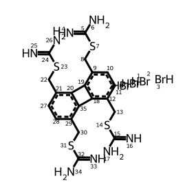 Br.Br.Br.Br.N=C(N)SCc1ccc(CSC(=N)N)c2c1-c1c(CSC(=N)N)ccc(CSC(=N)N)c1-2